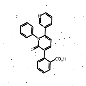 O=C(O)c1ccccc1-c1ccc(-c2cccnc2)n(-c2ccccc2)c1=O